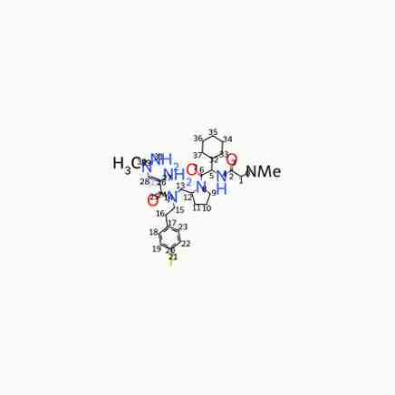 CNCC(=O)NC(C(=O)N1CCCC1CN(CCc1ccc(F)cc1)C(=O)/C(N)=C/N(C)N)C1CCCCC1